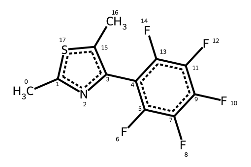 Cc1nc(-c2c(F)c(F)c(F)c(F)c2F)c(C)s1